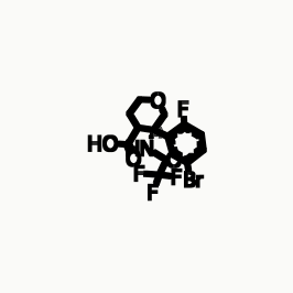 O=C(O)C1CCOC[C@@]1(NC(=O)C(F)(F)F)c1cc(Br)ccc1F